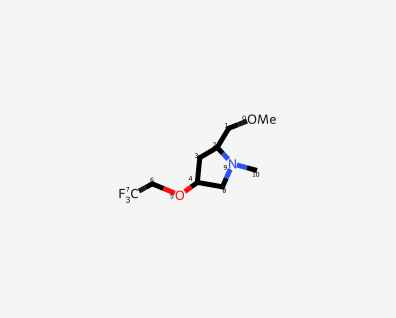 COCC1CC(OCC(F)(F)F)CN1C